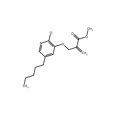 C=C(COc1cc(CCCCC)cnc1Cl)C(=O)OC